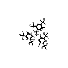 Cc1cc(OP(Oc2cc(C)c(C(C)(C)C)cc2C(C)(C)C)Oc2cc(C)c(C(C)(C)C)cc2C(C)(C)C)c(C(C)(C)C)cc1C(C)(C)C